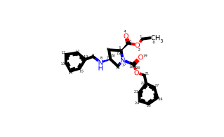 CCOC(=O)[C@@H]1C[C@H](NCc2ccccc2)CN1C(=O)OCc1ccccc1